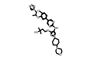 CC(Cn1cnnn1)Oc1cc(-c2cnc(Nc3cn(C4CCC(N5CCOCC5)CC4)nc3OCCC(C)(C)O)nc2)ccc1Cl